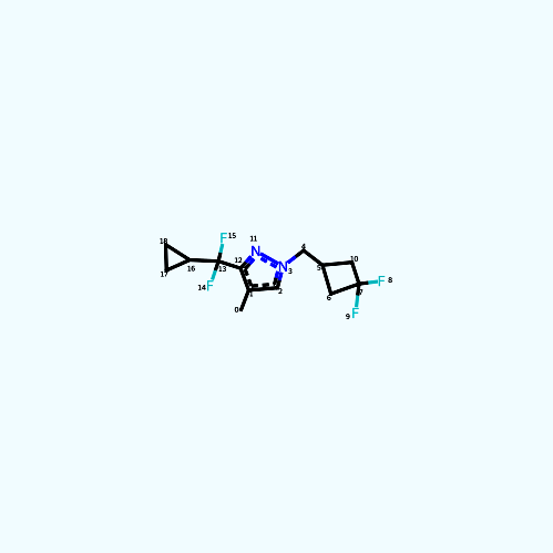 Cc1cn(CC2CC(F)(F)C2)nc1C(F)(F)C1CC1